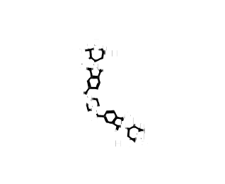 CCCC1(C)CC(N2C(=O)c3ccc(C(=O)N4CCN(C(=O)c5ccc6c(c5)C(=O)N(C5CC(C)(CCC)NC(C)(CCC)C5CC)C6=O)CC4)cc3C2=O)C(CC)C(C)(CCC)N1